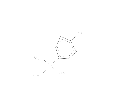 CO[Si](OC)(OC)c1ccc(N)cc1